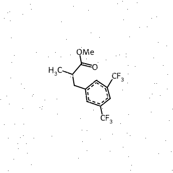 COC(=O)C(C)Cc1cc(C(F)(F)F)cc(C(F)(F)F)c1